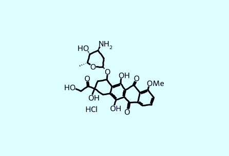 COc1cccc2c1C(=O)c1c(O)c3c(c(O)c1C2=O)CC(O)(C(=O)CO)CC3O[C@H]1C[C@H](N)[C@@H](O)[C@@H](C)O1.Cl